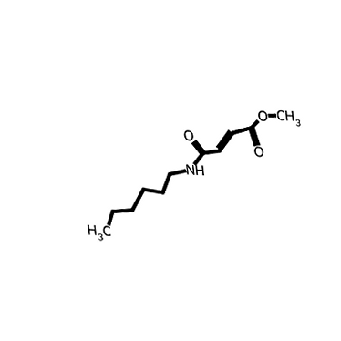 CCCCCCNC(=O)C=CC(=O)OC